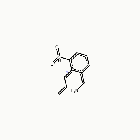 C=C/C=c1/c([SH](=O)=O)ccc/c1=C/N